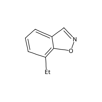 CCc1cccc2cnoc12